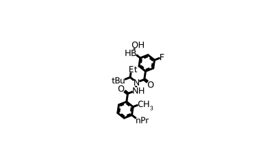 CCCc1cccc(C(=O)NN(C(=O)c2cc(F)cc(BO)c2)C(CC)C(C)(C)C)c1C